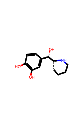 Oc1ccc([C@H](O)[C@H]2CCCCN2)cc1O